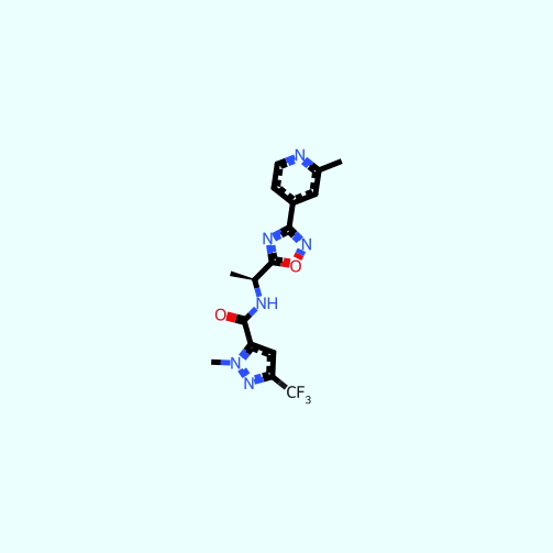 Cc1cc(-c2noc([C@H](C)NC(=O)c3cc(C(F)(F)F)nn3C)n2)ccn1